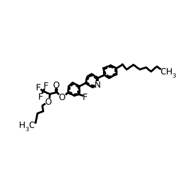 CCCCCCCCc1ccc(-c2ccc(-c3ccc(OC(=O)C(OCCCCC)C(F)(F)F)cc3F)cn2)cc1